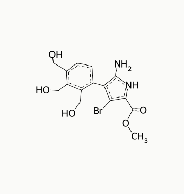 COC(=O)c1[nH]c(N)c(-c2ccc(CO)c(CO)c2CO)c1Br